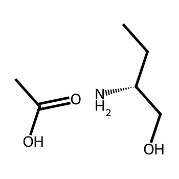 CC(=O)O.CC[C@@H](N)CO